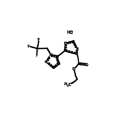 CCOC(=O)c1ncoc1-c1ccnn1CC(F)(F)F.Cl